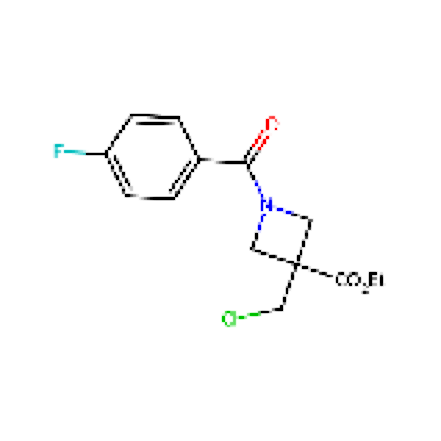 CCOC(=O)C1(CCl)CN(C(=O)c2ccc(F)cc2)C1